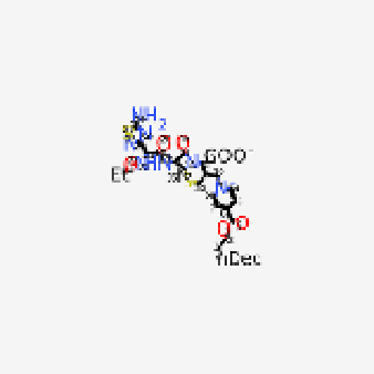 CCCCCCCCCCCCOC(=O)c1cc[n+](CC2=C(C(=O)[O-])N3C(=O)C(NC(=O)C(=NOCC)c4nsc(N)n4)[C@@H]3SC2)cc1